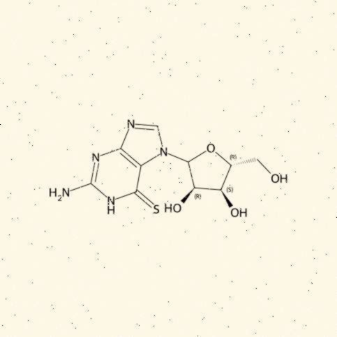 Nc1nc2ncn(C3O[C@H](CO)[C@@H](O)[C@H]3O)c2c(=S)[nH]1